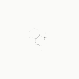 CC1=[C]C2=C(CCCC2)C(C)(C)C1C